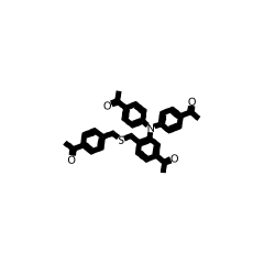 CC(=O)c1ccc(CSCc2ccc(C(C)=O)cc2N(c2ccc(C(C)=O)cc2)c2ccc(C(C)=O)cc2)cc1